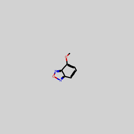 COc1cc[c]c2nonc12